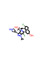 C#Cc1c(F)ccc2cc(O)cc(-c3nc(C(C)(C)O)c4c(C5C6CNCC65)nn(C5CC5)c4c3F)c12